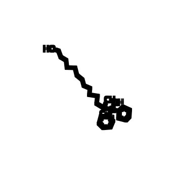 CC(C)(CCCCCCCCCCCCO)[Si](O)(c1ccccc1)c1ccccc1